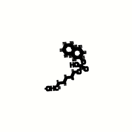 O=[C]CCCCCOP(=O)(O)Oc1ccc2ccccc2c1